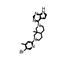 Cc1cc(N2CCC3CCN(c4ncnc5[nH]ccc45)CC3(C)C2)ncc1Br